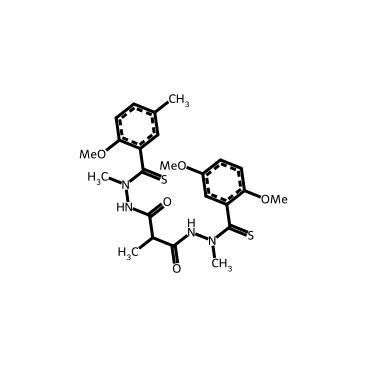 COc1ccc(OC)c(C(=S)N(C)NC(=O)C(C)C(=O)NN(C)C(=S)c2cc(C)ccc2OC)c1